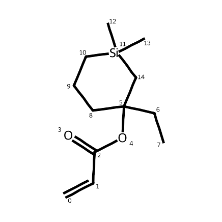 C=CC(=O)OC1(CC)CCC[Si](C)(C)C1